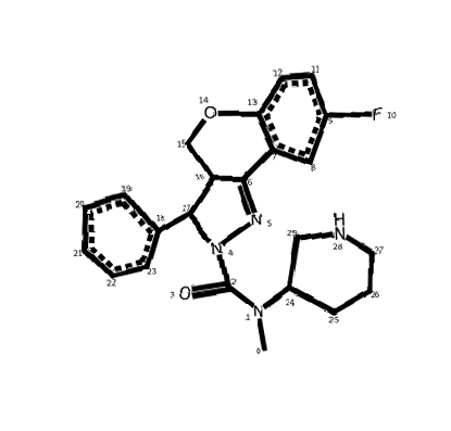 CN(C(=O)N1N=C2c3cc(F)ccc3OCC2C1c1ccccc1)C1CCCNC1